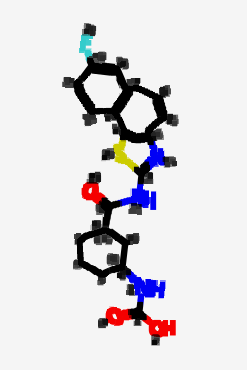 O=C(O)N[C@H]1CCC[C@@H](C(=O)Nc2nc3ccc4cc(F)ccc4c3s2)C1